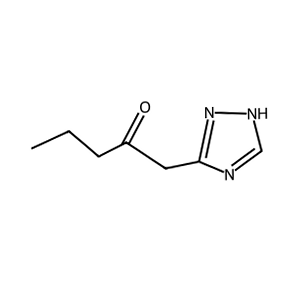 CCCC(=O)Cc1nc[nH]n1